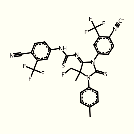 [C-]#[N+]c1ccc(N2C(=S)N(c3ccc(C)cc3)C(C)(CF)C2=NC(=S)Nc2ccc(C#N)c(C(F)(F)F)c2)cc1C(F)(F)F